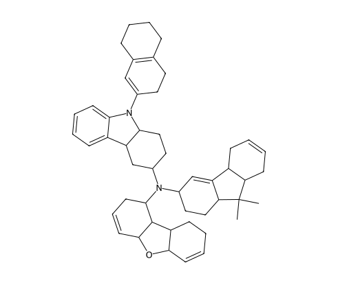 CC1(C)C2CCC(N(C3CCC4C(C3)c3ccccc3N4C3=CC4=C(CCCC4)CC3)C3CC=CC4OC5C=CCCC5C43)C=C2C2CC=CCC21